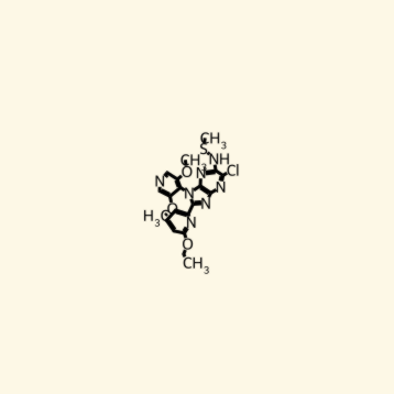 CCOc1cccc(-c2nc3nc(Cl)c(NSC)nc3n2-c2c(OC)cncc2OC)n1